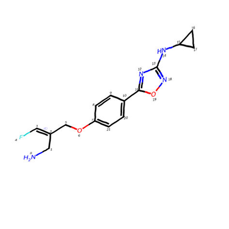 NC/C(=C\F)COc1ccc(-c2nc(NC3CC3)no2)cc1